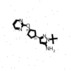 CC(C)(C)n1nc([C@H]2CC[C@@H](Oc3ncccn3)C2)cc1N